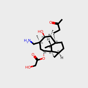 CC(=O)CC[C@]12CC[C@H]3C[C@@]3([C@@H]1C)[C@H](OC(=O)CO)C[C@@](C)(CN)[C@@H](O)[C@@H]2C